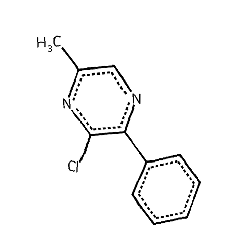 Cc1cnc(-c2ccccc2)c(Cl)n1